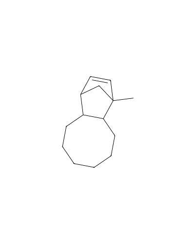 CC12C=CC(C1)C1CCCCCCC12